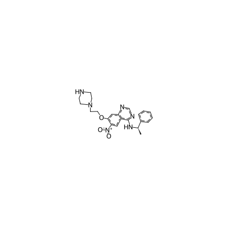 C[C@@H](Nc1ncnc2cc(OCCN3CCNCC3)c([N+](=O)[O-])cc12)c1ccccc1